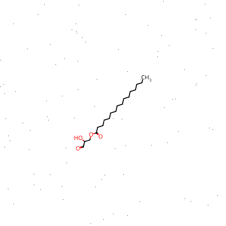 CCCCCCCCCCCCCCCC(=O)OCC(O)C=O